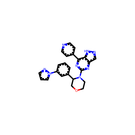 c1cc(C2COCCN2c2nc(-c3ccncc3)c3[nH]ncc3n2)cc(-n2cccn2)c1